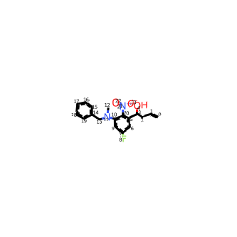 C=CCC(O)c1cc(F)cc(N(C)Cc2ccccc2)c1[N+](=O)[O-]